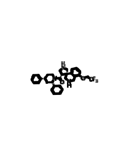 O=C([C@@H]1CNC[C@]12CNCc1c(OCC(F)(F)F)cccc12)N1CC[C@@H](c2ccccc2)C[C@H]1C1CCCCC1